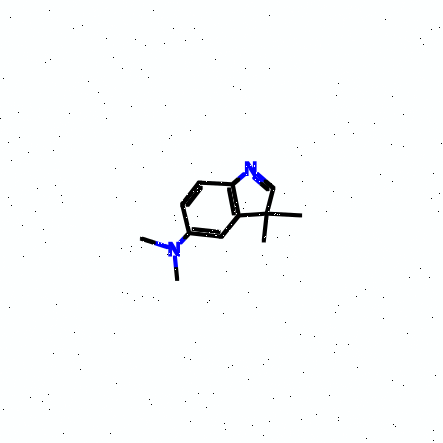 CN(C)c1ccc2c(c1)C(C)(C)C=N2